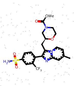 COC(=O)N1CCO[C@@H](Cc2c(-c3ccc(S(N)(=O)=O)cc3C(F)(F)F)nc3cc(C)ccn23)C1